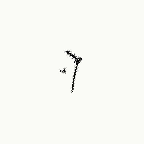 CCCCCCCCCCCCCCCCCCCCOS(=O)(=O)C(F)CCCCCCCCC.CNC